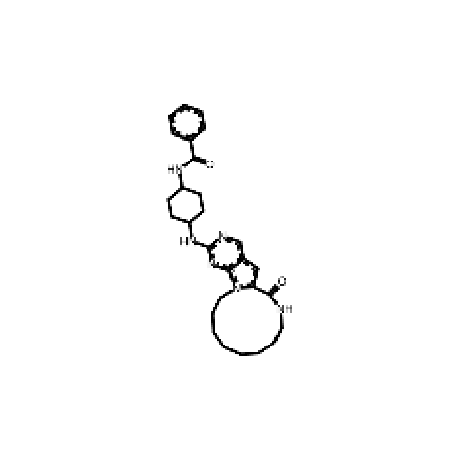 O=C(NC1CCC(Nc2ncc3cc4n(c3n2)CCCCCCCCNC4=O)CC1)c1ccccc1